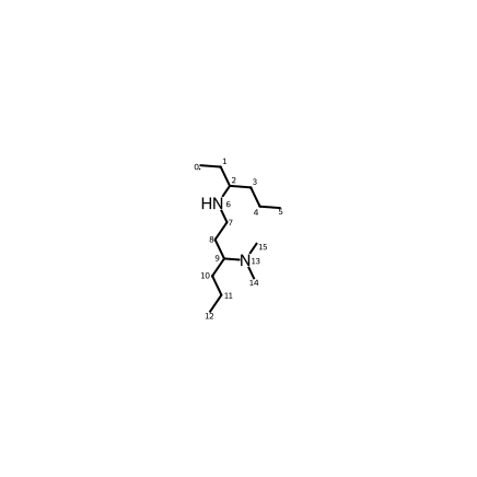 [CH2]CC(CCC)NCCC(CCC)N(C)C